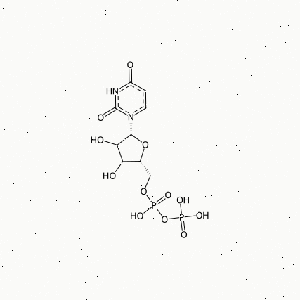 O=c1ccn([C@@H]2O[C@H](COP(=O)(O)OP(=O)(O)O)C(O)C2O)c(=O)[nH]1